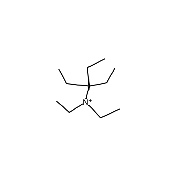 CC[N+](CC)C(CC)(CC)CC